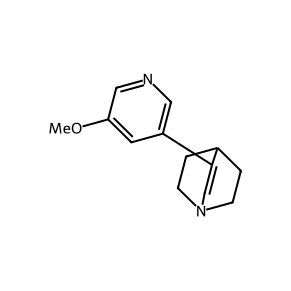 COc1cncc(C2=CN3CCC2CC3)c1